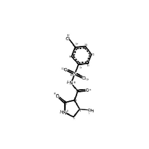 O=C1NCC(O)C1C(=O)NS(=O)(=O)c1cccc(Cl)c1